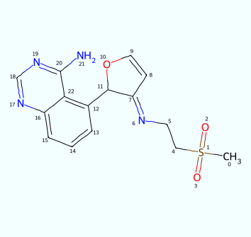 CS(=O)(=O)CCN=C1C=COC1c1cccc2ncnc(N)c12